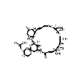 CC[C@@H](O)C[C@@H]1O[C@@]2(CC[C@@H]1C)C[C@@H]1OC(=O)/C=C/[C@@](C)(O)[C@@H](O)[C@H](C)[C@@H](O)C[C@@H](O)[C@](C)(O)CCC/C=C/[C@@H]3C[C@H](C)CO[C@@]3(O)C[C@H](O2)[C@H]1C